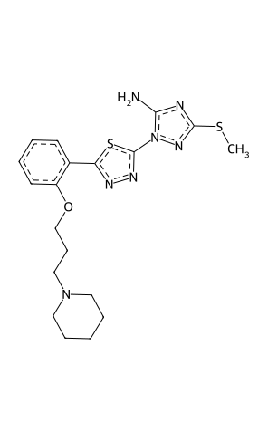 CSc1nc(N)n(-c2nnc(-c3ccccc3OCCCN3CCCCC3)s2)n1